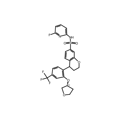 O=S(=O)(Nc1cccc(F)n1)c1ccc2c(c1)OCCC2c1ccc(C(F)(F)F)cc1O[C@H]1CCOC1